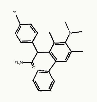 Cc1cc(-c2ccccc2)c(C(C(N)=O)c2ccc(F)cc2)c(C)c1N(C)C